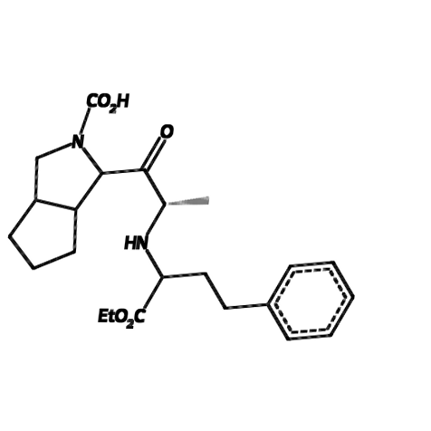 CCOC(=O)C(CCc1ccccc1)N[C@@H](C)C(=O)C1C2CCCC2CN1C(=O)O